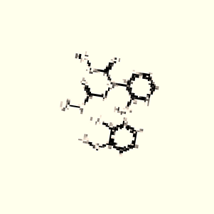 COC(=O)ON(C(=O)OC)c1cccnc1C.Cc1ncccc1NO